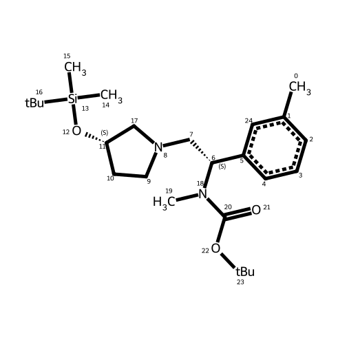 Cc1cccc([C@@H](CN2CC[C@H](O[Si](C)(C)C(C)(C)C)C2)N(C)C(=O)OC(C)(C)C)c1